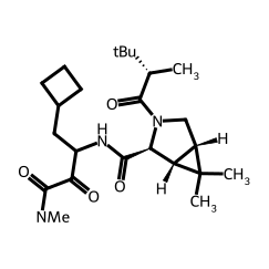 CNC(=O)C(=O)C(CC1CCC1)NC(=O)[C@@H]1[C@@H]2[C@H](CN1C(=O)[C@@H](C)C(C)(C)C)C2(C)C